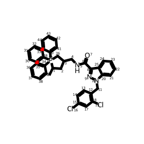 CC1CC(CNC(=O)c2nn(Cc3ccc(Cl)cc3Cl)c3ccccc23)CP1(c1ccccc1)(c1ccccc1)c1ccccc1